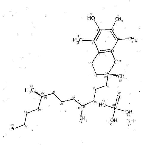 Cc1c(C)c2c(c(C)c1O)CC[C@@](C)(CCC[C@H](C)CCC[C@H](C)CCCC(C)C)O2.O=P(O)(O)O.[KH]